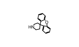 c1ccc2c(c1)Oc1ccccc1C21CCNCC1